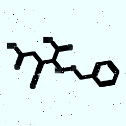 O=C=C(CC(=O)O)C(NOCc1ccccc1)C(=O)O